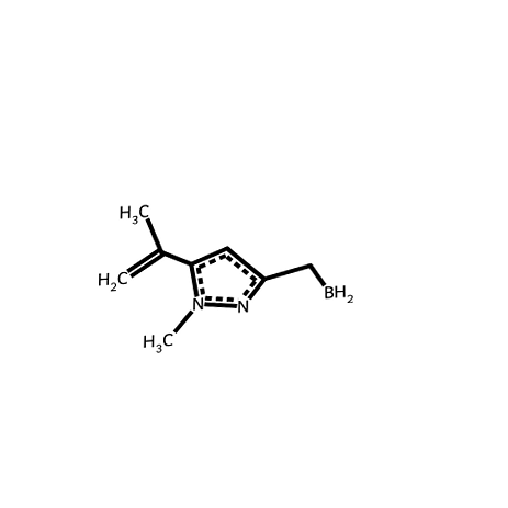 BCc1cc(C(=C)C)n(C)n1